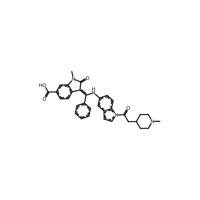 CN1CCC(CC(=O)n2ccc3cc(NC(=C4C(=O)N(C)c5cc(C(=O)O)ccc54)c4ccccc4)ccc32)CC1